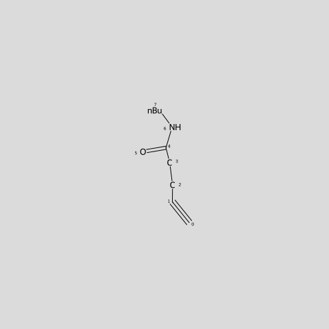 C#CCCC(=O)NCCCC